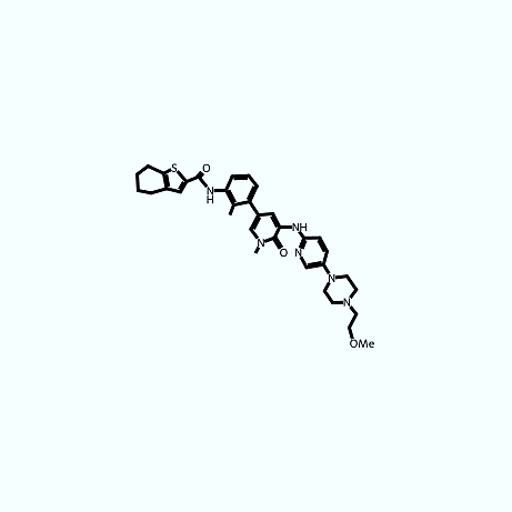 COCCN1CCN(c2ccc(Nc3cc(-c4cccc(NC(=O)c5cc6c(s5)CCCC6)c4C)cn(C)c3=O)nc2)CC1